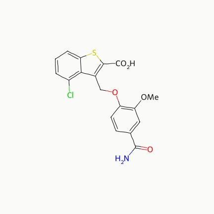 COc1cc(C(N)=O)ccc1OCc1c(C(=O)O)sc2cccc(Cl)c12